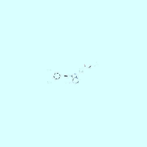 CCN(CC)C/C=C/C(=O)N1CC(n2nc(C#Cc3cc(OC)cc(OC)c3)c3c(N)ncnc32)C1